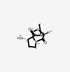 CN1C(=O)[C@@]23SS[C@@H]1C(=O)N2CC[C@@H]3O